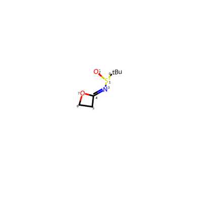 CC(C)(C)[S+]([O-])/N=C1/CCO1